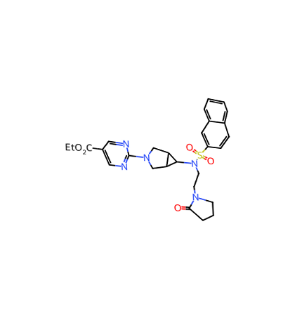 CCOC(=O)c1cnc(N2CC3C(C2)C3N(CCN2CCCC2=O)S(=O)(=O)c2ccc3ccccc3c2)nc1